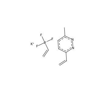 C=C[B-](F)(F)F.C=Cc1ccc(C)nn1.[K+]